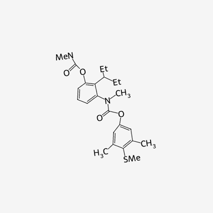 CCC(CC)c1c(OC(=O)NC)cccc1N(C)C(=O)Oc1cc(C)c(SC)c(C)c1